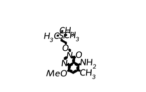 COc1cc(C)c(N)c2c(=O)n(COCC[Si](C)(C)C)cnc12